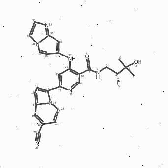 CC(C)(O)[C@H](F)CNC(=O)c1cnc(-c2ccc3cc(C#N)cnn23)cc1Nc1ccn2ccnc2c1